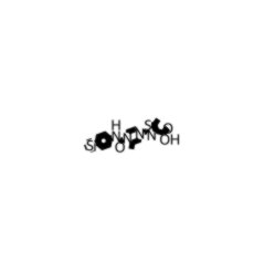 Cc1sc(N2CCN(C(=O)Nc3ccc([Si](C)(C)C)cc3)C(C)C2)nc1C(=O)O